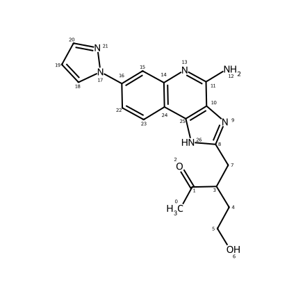 CC(=O)C(CCO)Cc1nc2c(N)nc3cc(-n4cccn4)ccc3c2[nH]1